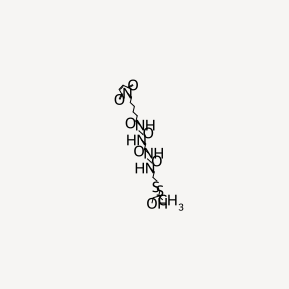 CC(CO)SSCCCNC(=O)CNC(=O)CNC(=O)CNC(=O)CCCCCN1C(=O)C=CC1=O